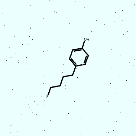 Oc1ccc(CCCCF)cc1